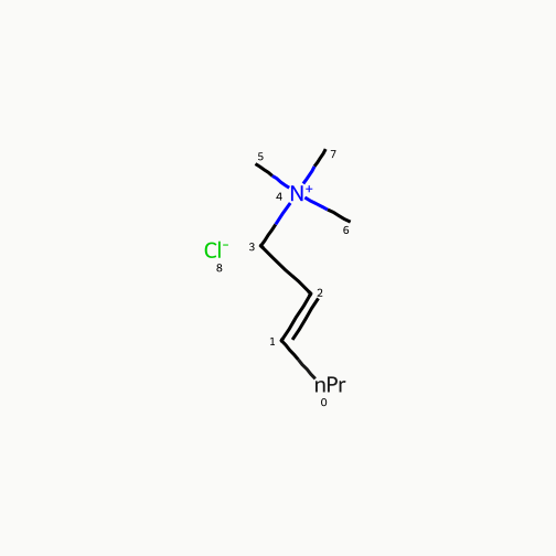 CCC/C=C/C[N+](C)(C)C.[Cl-]